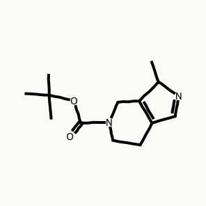 CC1N=CC2=C1CN(C(=O)OC(C)(C)C)CC2